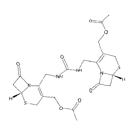 CC(=O)OCC1=C(CNC(=O)NCC2=C(COC(C)=O)CS[C@@H]3CC(=O)N23)N2C(=O)C[C@H]2SC1